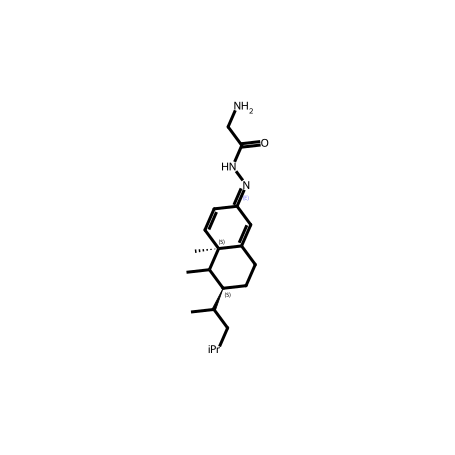 CC(C)CC(C)[C@@H]1CCC2=C/C(=N/NC(=O)CN)C=C[C@]2(C)C1C